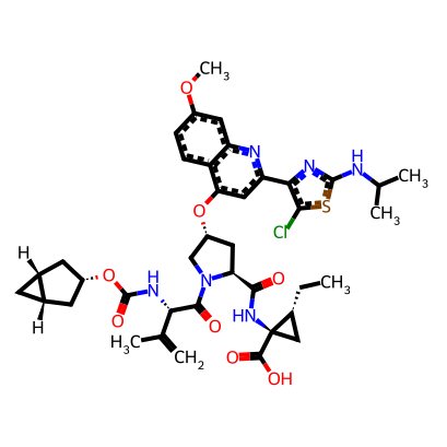 C=C(C)[C@H](NC(=O)O[C@@H]1C[C@@H]2C[C@@H]2C1)C(=O)N1C[C@H](Oc2cc(-c3nc(NC(C)C)sc3Cl)nc3cc(OC)ccc23)C[C@H]1C(=O)N[C@]1(C(=O)O)C[C@H]1CC